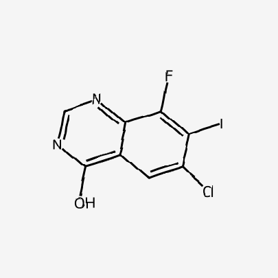 Oc1ncnc2c(F)c(I)c(Cl)cc12